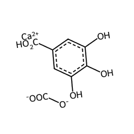 O=C(O)c1cc(O)c(O)c(O)c1.O=C([O-])[O-].[Ca+2]